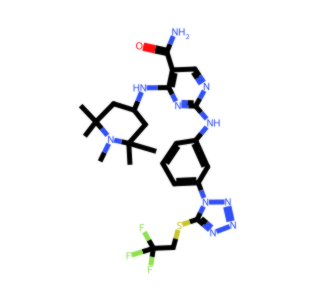 CN1C(C)(C)CC(Nc2nc(Nc3cccc(-n4nnnc4SCC(F)(F)F)c3)ncc2C(N)=O)CC1(C)C